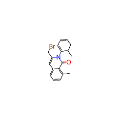 Cc1cccc2cc(CBr)n(C3=CC=CCC3C)c(=O)c12